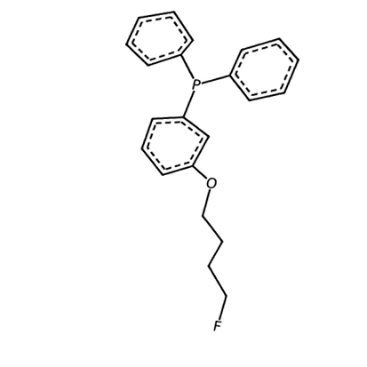 FCCCCOc1cccc(P(c2ccccc2)c2ccccc2)c1